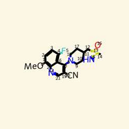 COc1ccc(F)c2c(N3CCC(CS(C)(=N)=O)CC3)c(C#N)cnc12